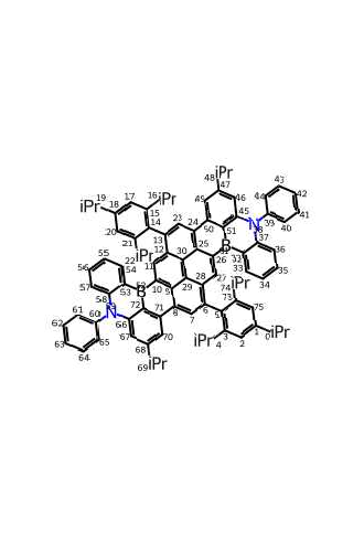 CC(C)c1cc(C(C)C)c(-c2cc3c4c(cc5c(-c6c(C(C)C)cc(C(C)C)cc6C(C)C)cc6c7c(cc2c4c57)B2c4ccccc4N(c4ccccc4)c4cc(C(C)C)cc-6c42)B2c4ccccc4N(c4ccccc4)c4cc(C(C)C)cc-3c42)c(C(C)C)c1